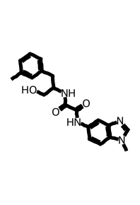 Cc1cccc(CC(CO)NC(=O)C(=O)Nc2ccc3c(c2)ncn3C)c1